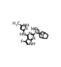 Cc1cc(Nc2nc(NC3CC4CCC(C3)N4CCC#N)nc3[nH]cc(F)c23)n[nH]1